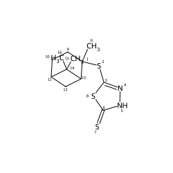 CC1(Sc2n[nH]c(=S)s2)CCC2CC1C2(C)C